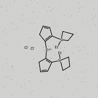 CC[Si]1(C2=[C]([Zr+2][C]3=C([Si]4(CC)CCC4)C=CC3)CC=C2)CCC1.[Cl-].[Cl-]